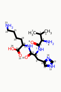 CC(C)C(N)C(=O)NC(Cc1c[nH]cn1)C(=O)NC(CCCCN)C(=O)O